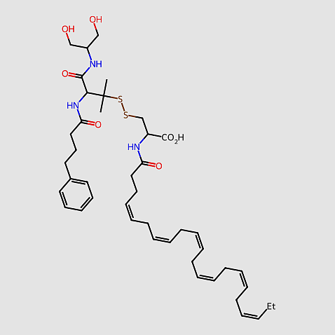 CC/C=C\C/C=C\C/C=C\C/C=C\C/C=C\C/C=C\CCC(=O)NC(CSSC(C)(C)C(NC(=O)CCCc1ccccc1)C(=O)NC(CO)CO)C(=O)O